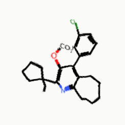 CC1(c2nc3c(c(-c4cccc(Cl)c4)c2OC(=O)O)CCCCC3)CCCC1